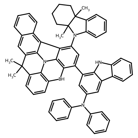 CC1(C)c2cccc3c2-n2c4c(c(-c5cc(N(c6ccccc6)c6ccccc6)cc6c5[nH]c5ccccc56)cc(N5c6ccccc6C6(C)CCCCC56C)c4c4c5ccccc5cc1c42)B3